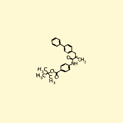 C[C@@H](Cc1ccc(-c2ccccc2)cc1)C(=O)Nc1ccc(C(=O)OC(C)(C)C)cc1